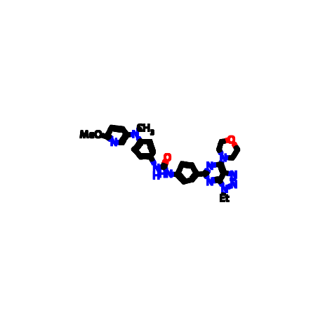 CCn1nnc2c(N3CCOCC3)nc(-c3ccc(NC(=O)Nc4ccc(N(C)c5ccc(OC)nc5)cc4)cc3)nc21